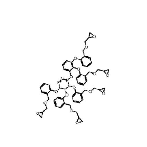 c1ccc(Oc2cccc(Op3npn(Oc4ccccc4COCC4CO4)p(Oc4ccccc4COCC4CO4)n3Oc3ccccc3COCC3CO3)c2Oc2ccccc2COCC2CO2)c(COCC2CO2)c1